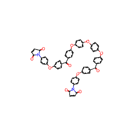 O=C(c1ccc(Oc2ccc(Oc3ccc(Oc4ccc(C(=O)c5ccc(Oc6ccc(N7C(=O)C=CC7=O)cc6)cc5)cc4)cc3)cc2)cc1)c1ccc(Oc2ccc(N3C(=O)C=CC3=O)cc2)cc1